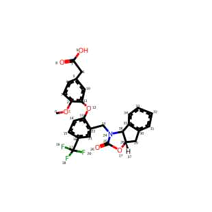 COc1ccc(CC(=O)O)cc1Oc1ccc(C(F)(F)F)cc1CN1C(=O)O[C@H]2Cc3ccccc3C21